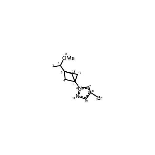 COC(C)C12CC(n3cc(Br)cn3)(C1)C2